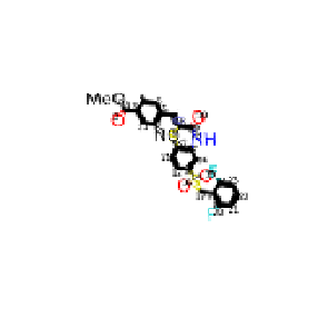 COC(=O)c1ccc(/C=C2\Sc3ccc(S(=O)(=O)Cc4c(F)cccc4F)cc3NC2=O)c([N+](=O)[O-])c1